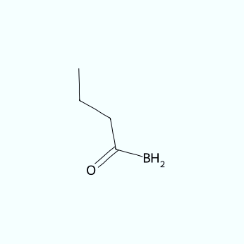 BC(=O)CCC